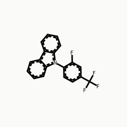 Fc1cc(C(F)(F)F)ccc1-n1c2ccccc2c2ccccc21